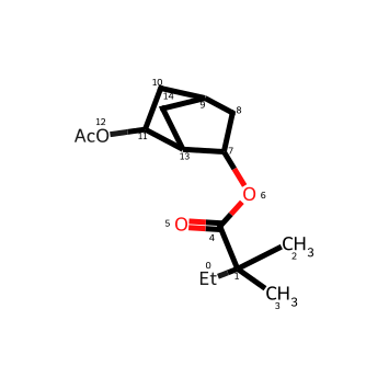 CCC(C)(C)C(=O)OC1CC2CC(OC(C)=O)C1C2